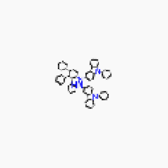 c1ccc(-c2ccc(N(Nc3ccc4c(c3)c3ccccc3n4-c3ccccc3)c3ccc4c(c3)c3ccccc3n4-c3ccccc3)c(-c3ccccc3)c2-c2ccccc2)cc1